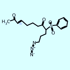 CC(=O)/C=C/CCCC(=O)C(CCCN=[N+]=[N-])S(=O)(=O)c1ccccc1